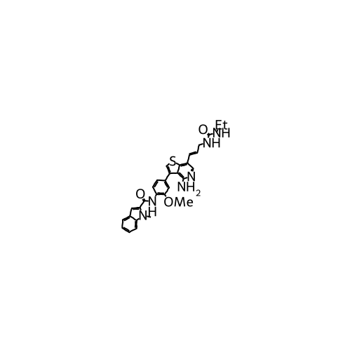 CCNC(=O)NCC=Cc1cnc(N)c2c(-c3ccc(NC(=O)c4cc5ccccc5n4C)c(OC)c3)csc12